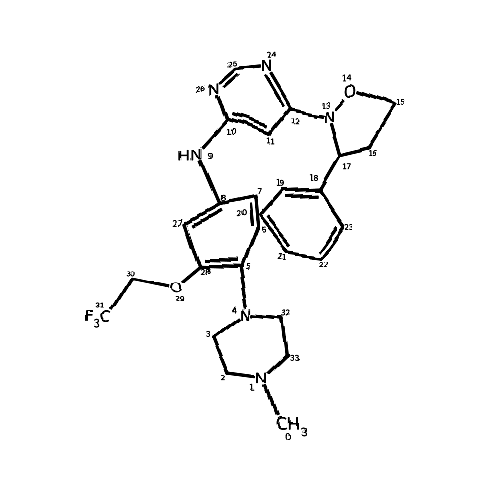 CN1CCN(c2ccc(Nc3cc(N4OCCC4c4ccccc4)ncn3)cc2OCC(F)(F)F)CC1